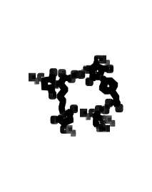 CC1=CC(=O)N(CCCCC(C(=O)OOOC(C)(C)C)N2C(=O)C=C(C)C2=O)C1=O.CC1=CC(=O)N(c2ccc(CC(=O)OOOC(C)(C)CC(C)(C)C)cc2)C1=O